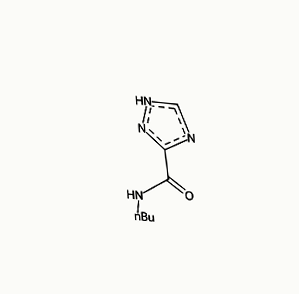 CCCCNC(=O)c1nc[nH]n1